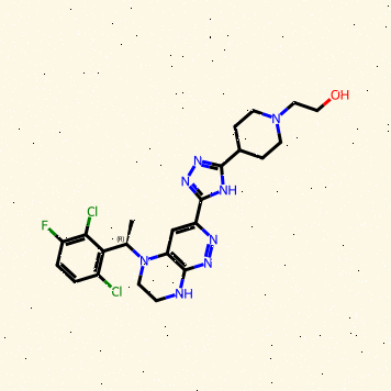 C[C@H](c1c(Cl)ccc(F)c1Cl)N1CCNc2nnc(-c3nnc(C4CCN(CCO)CC4)[nH]3)cc21